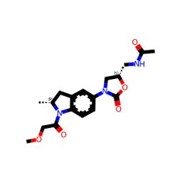 COCC(=O)N1c2ccc(N3C[C@H](CNC(C)=O)OC3=O)cc2C[C@H]1C